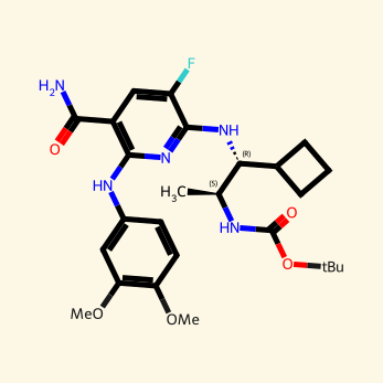 COc1ccc(Nc2nc(N[C@H](C3CCC3)[C@H](C)NC(=O)OC(C)(C)C)c(F)cc2C(N)=O)cc1OC